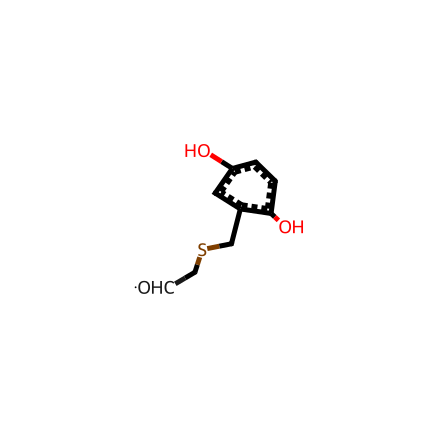 O=[C]CSCc1cc(O)ccc1O